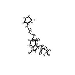 Cn1cc(NC(=O)OC(C)(C)C)c2c(=O)n(CCOCc3ccccc3)ccc21